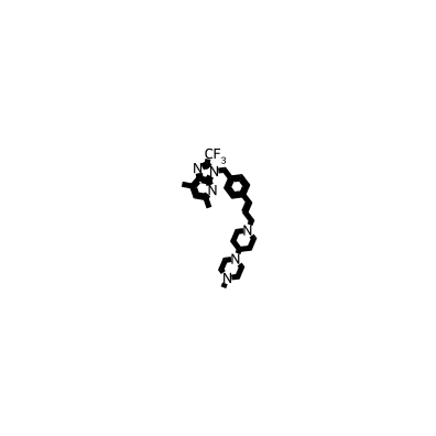 Cc1cc(C)c2nc(C(F)(F)F)n(Cc3ccc(C=CCN4CCC(N5CCN(C)CC5)CC4)cc3)c2n1